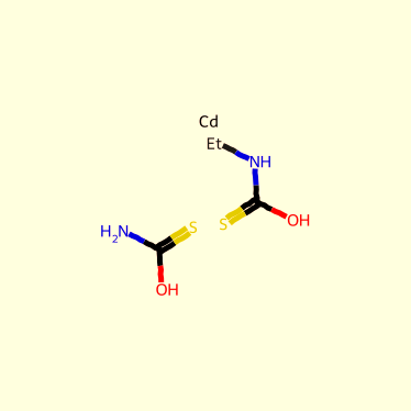 CCNC(O)=S.NC(O)=S.[Cd]